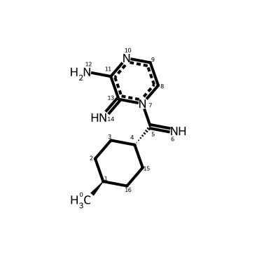 C[C@H]1CC[C@H](C(=N)n2ccnc(N)c2=N)CC1